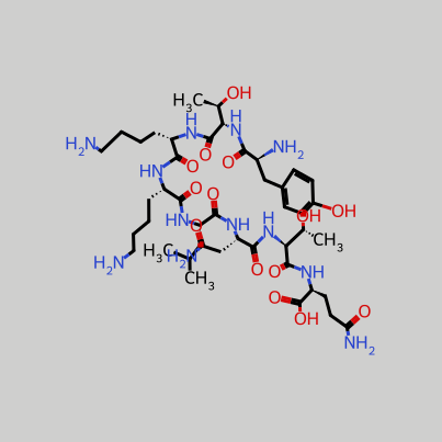 CC(C)C[C@H](NC(=O)[C@H](CCCCN)NC(=O)[C@H](CCCCN)NC(=O)[C@@H](NC(=O)[C@@H](N)Cc1ccc(O)cc1)[C@@H](C)O)C(=O)N[C@@H](CC(N)=O)C(=O)N[C@H](C(=O)N[C@@H](CCC(N)=O)C(=O)O)[C@@H](C)O